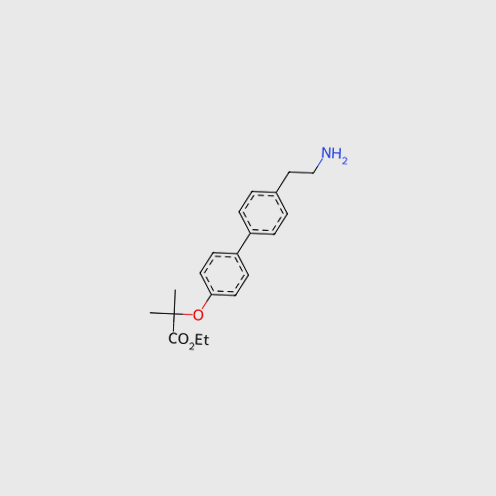 CCOC(=O)C(C)(C)Oc1ccc(-c2ccc(CCN)cc2)cc1